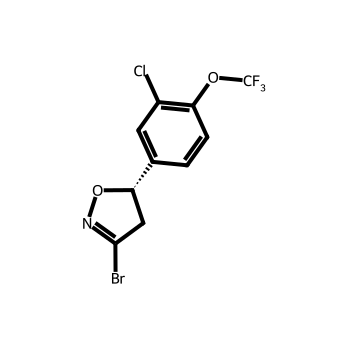 FC(F)(F)Oc1ccc([C@@H]2CC(Br)=NO2)cc1Cl